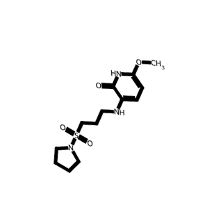 COc1ccc(NCCCS(=O)(=O)N2CCCC2)c(=O)[nH]1